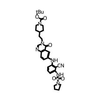 CC(C)(C)OC(=O)N1CCC(CCn2cnc3ccc(Nc4cccc(NS(=O)(=O)N5CCCC5)c4C#N)cc3c2=O)CC1